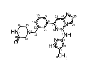 Cc1cc(Nc2nc(-c3cccc(CN4CCNC(=O)C4)c3)cc3nccn23)n[nH]1